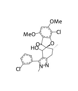 COc1cc(OC)c2c(c1Cl)O[C@]1(C2=O)C(O)c2c(nn(C)c2-c2cccc(Cl)c2)C[C@H]1C